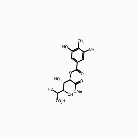 COC(=O)[C@H](OC(=O)c1cc(O)c(C)c(O)c1)[C@@H](O)[C@@H](O)[C@H](O)C(=O)O